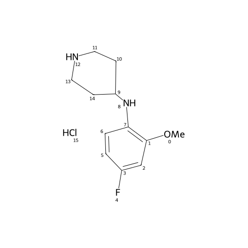 COc1cc(F)ccc1NC1CCNCC1.Cl